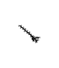 CCCCCCCCCCCCCCN1C=CN(C(C)C)C1CCC